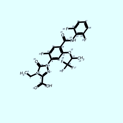 CCn1c(C(=O)O)nn(-c2cc(OC(C)C(F)(F)F)c(C(=O)Nc3c(F)cccc3F)cc2F)c1=O